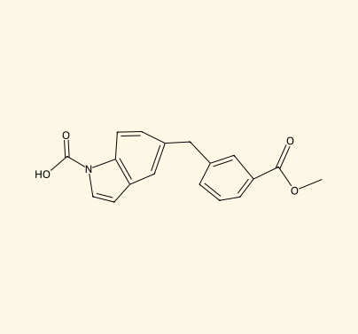 COC(=O)c1cccc(Cc2ccc3c(ccn3C(=O)O)c2)c1